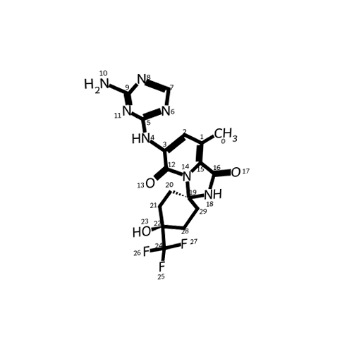 Cc1cc(Nc2ncnc(N)n2)c(=O)n2c1C(=O)N[C@]21CC[C@@](O)(C(F)(F)F)CC1